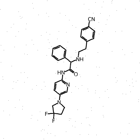 N#Cc1ccc(CCNC(C(=O)Nc2ccc(N3CCC(F)(F)C3)cn2)c2ccccc2)cc1